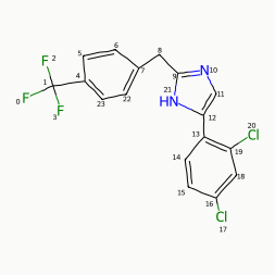 FC(F)(F)c1ccc(Cc2ncc(-c3ccc(Cl)cc3Cl)[nH]2)cc1